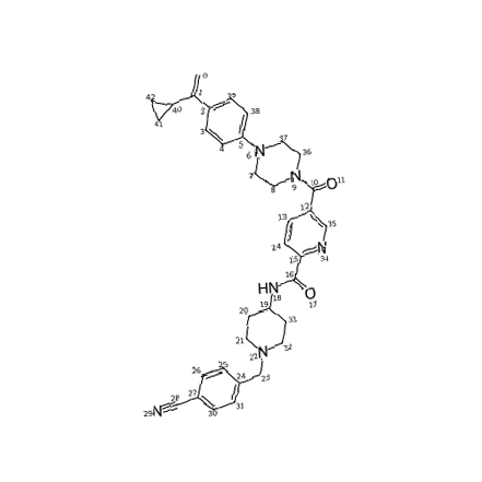 C=C(c1ccc(N2CCN(C(=O)c3ccc(C(=O)NC4CCN(Cc5ccc(C#N)cc5)CC4)nc3)CC2)cc1)C1CC1